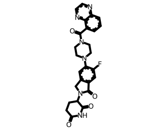 O=C1CCC(N2Cc3cc(N4CCN(C(=O)c5cccc6nccnc56)CC4)c(F)cc3C2=O)C(=O)N1